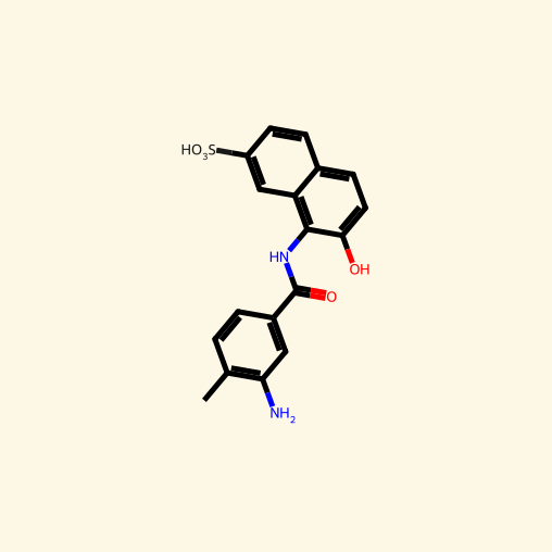 Cc1ccc(C(=O)Nc2c(O)ccc3ccc(S(=O)(=O)O)cc23)cc1N